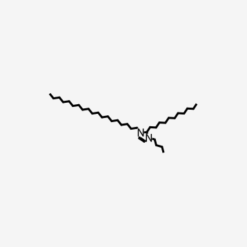 CCCCCCCCCCCCCCCCCCCN1C=CN(CCCC)C1CCCCCCCCCCC